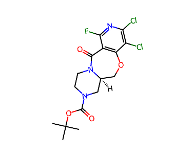 CC(C)(C)OC(=O)N1CCN2C(=O)c3c(F)nc(Cl)c(Cl)c3OC[C@H]2C1